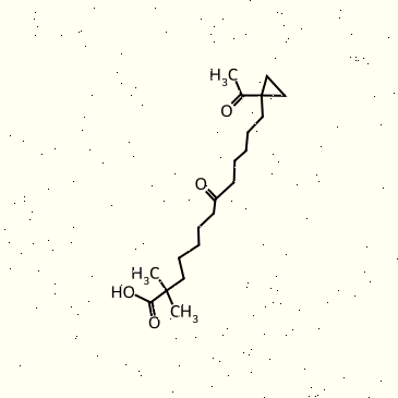 CC(=O)C1(CCCCCC(=O)CCCCCC(C)(C)C(=O)O)CC1